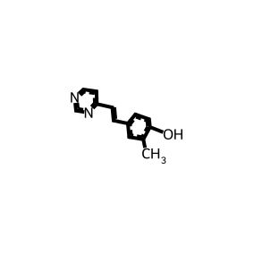 Cc1cc(/C=C/c2ccncn2)ccc1O